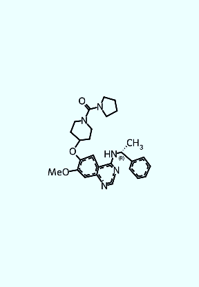 COc1cc2ncnc(N[C@H](C)c3ccccc3)c2cc1OC1CCN(C(=O)N2CCCC2)CC1